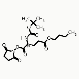 CCCCOC(=O)CC[C@H](NC(=O)OC(C)(C)C)C(=O)ON1C(=O)CCC1=O